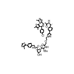 Cc1ncsc1-c1ccc(CNC(=O)[C@@H]2C[C@@H](O)CN2C(=O)[C@@H](NC(=O)COCCn2cc(-c3ccc([C@@H](C)NC(=O)C[C@@H]4N=C(c5ccc(Cl)cc5)c5c(sc(C)c5C)-n5c(C)nnc54)cc3)cn2)C(C)(C)C)cc1